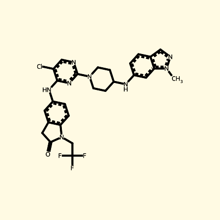 Cn1ncc2ccc(NC3CCN(c4ncc(Cl)c(Nc5ccc6c(c5)CC(=O)N6CC(F)(F)F)n4)CC3)cc21